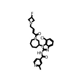 Cc1cc(C(=O)Nc2nc3cccc(Cl)c3n2C2CCCCN(C(=O)C=CCN3CC(F)C3)C2)ccn1